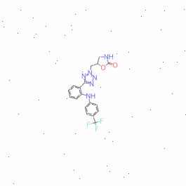 O=C1NCC(Cn2nnc(-c3ccccc3Nc3ccc(C(F)(F)F)cc3)n2)O1